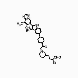 CCC(C=O)CCC1CCCN(CC(=O)N2CCC(c3ccc4[nH]c(-c5cn6ncnc6c(C)c5C)c(C(C)C)c4c3)CC2)C1